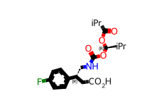 CC(C)C(=O)O[C@H](OC(=O)NC[C@H](CC(=O)O)c1ccc(F)cc1)C(C)C